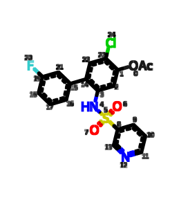 CC(=O)Oc1cc(NS(=O)(=O)c2cccnc2)c(-c2cccc(F)c2)cc1Cl